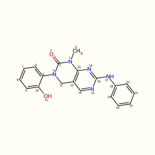 CN1C(=O)N(c2ccccc2O)Cc2cnc(Nc3ccccc3)nc21